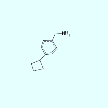 NCc1ccc(C2CCC2)cc1